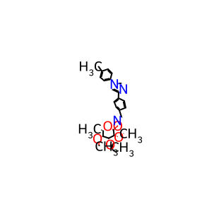 CO[C@@H]1[C@@H](OC)[C@H](C)O[C@@H](O/N=C/c2ccc(-c3cn(-c4ccc(C)cc4)cn3)cc2)[C@@H]1OC